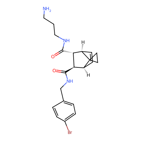 NCCCNC(=O)[C@H]1[C@H](C(=O)NCc2ccc(Br)cc2)[C@@H]2C=C[C@H]1C21CC1